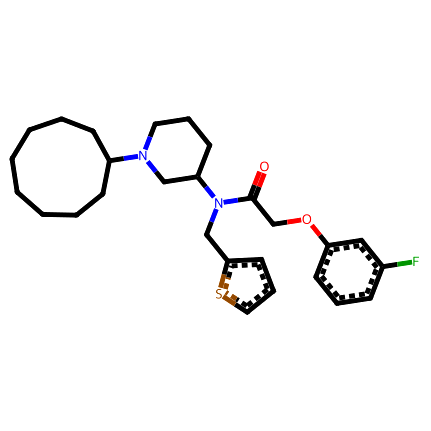 O=C(COc1cccc(F)c1)N(Cc1cccs1)C1CCCN(C2CCCCCCCC2)C1